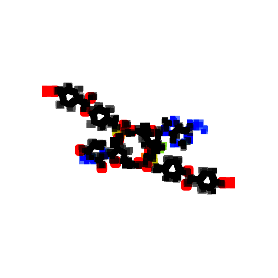 Nc1ncnc2c1ncn2[C@@H]1O[C@@H]2COP(=O)(SCc3ccc(OC(=O)c4ccc(O)cc4)cc3)O[C@@H]3C[C@@H](COP(=O)(SCc4ccc(OC(=O)c5ccc(O)cc5)cc4)O[C@H]2[C@H]1F)O[C@H]3n1ccc(=O)[nH]c1=O